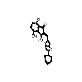 Cc1ccc(Cl)c2c1C(=O)/C(=C\c1cc3oc(-c4ccccc4)cc3s1)C2=O